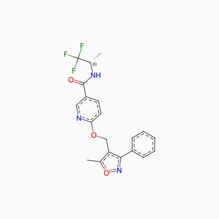 Cc1onc(-c2ccccc2)c1COc1ccc(C(=O)N[C@@H](C)C(F)(F)F)cn1